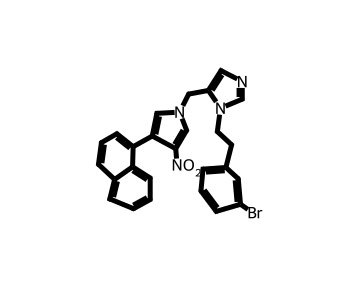 O=[N+]([O-])c1cn(Cc2cncn2CCc2cccc(Br)c2)cc1-c1cccc2ccccc12